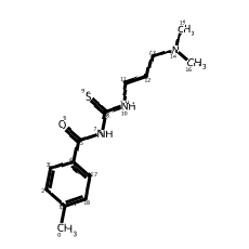 Cc1ccc(C(=O)NC(=S)NCCCN(C)C)cc1